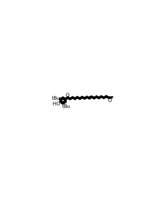 CC(C)(C)c1cc(C(=O)CCCCCCCC/C=C/CCCCCCC2CO2)cc(C(C)(C)C)c1O